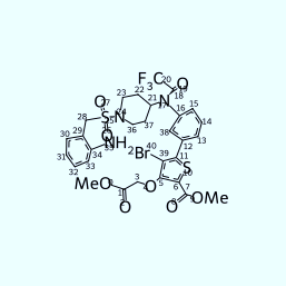 COC(=O)COc1c(C(=O)OC)sc(-c2cccc(N(C(=O)C(F)(F)F)C3CCN(S(=O)(=O)Cc4ccccc4N)CC3)c2)c1Br